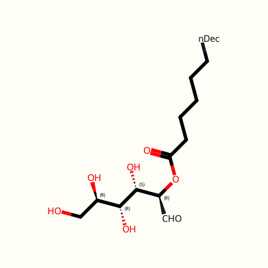 CCCCCCCCCCCCCCCC(=O)O[C@@H](C=O)[C@@H](O)[C@H](O)[C@H](O)CO